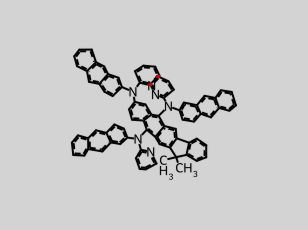 CC1(C)c2ccccc2-c2cc3c(N(c4ccc5cc6ccccc6cc5c4)c4ccccn4)c4cc(N(c5ccc6cc7ccccc7cc6c5)c5ccccn5)ccc4c(N(c4ccc5cc6ccccc6cc5c4)c4ccccn4)c3cc21